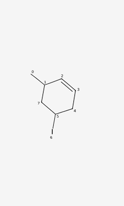 CC1C=CCC(I)C1